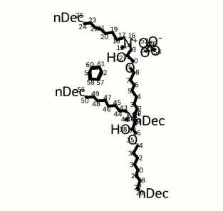 CCCCCCCCCCCCCCCCCCOCC(O)C[N+](C)(C)CCCCCCCCCCCCCCCCCC.CCCCCCCCCCCCCCCCCCOCC(O)C[N+](C)(C)CCCCCCCCCCCCCCCCCC.O=S(=O)([O-])[O-].c1ccccc1